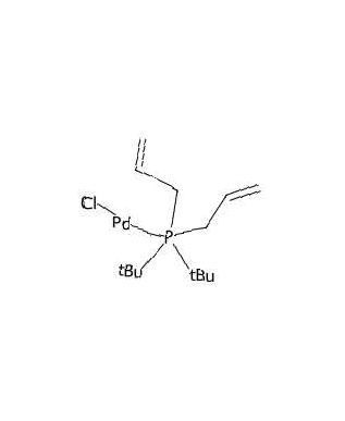 C=CC[P](CC=C)([Pd][Cl])(C(C)(C)C)C(C)(C)C